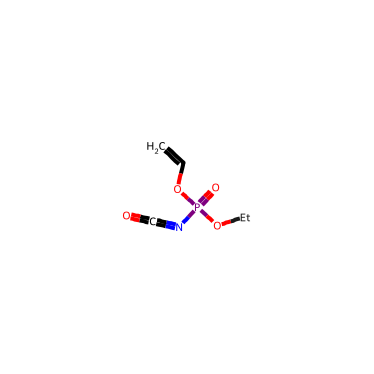 C=COP(=O)(N=C=O)OCC